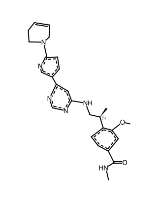 CNC(=O)c1ccc([C@H](C)CNc2cc(-c3ccc(N4CC=CCC4)nc3)ncn2)c(OC)c1